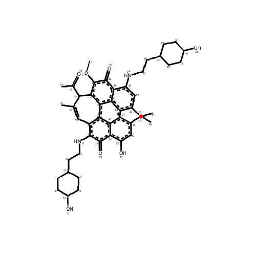 COc1c2c3c4c(c(NCCC5CCC(O)CC5)c(=O)c5c(O)cc(OC)c(c6c(OC)cc(NCCC7CCC(O)CC7)c(c1=O)c63)c54)C=C(C)C2C(C)=O